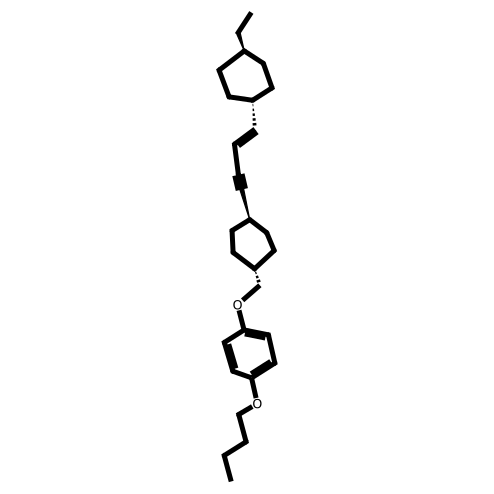 CCCCOc1ccc(OC[C@H]2CC[C@H](C#CC=C[C@H]3CC[C@H](CC)CC3)CC2)cc1